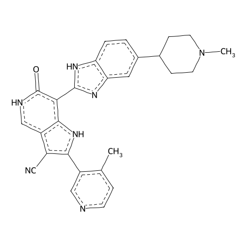 Cc1ccncc1-c1[nH]c2c(-c3nc4cc(C5CCN(C)CC5)ccc4[nH]3)c(=O)[nH]cc2c1C#N